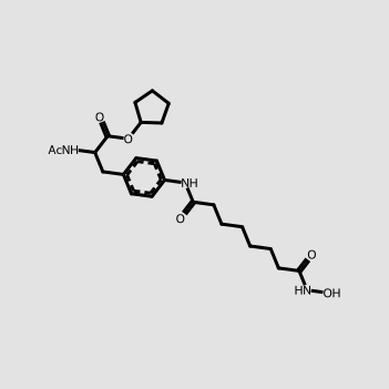 CC(=O)NC(Cc1ccc(NC(=O)CCCCCCC(=O)NO)cc1)C(=O)OC1CCCC1